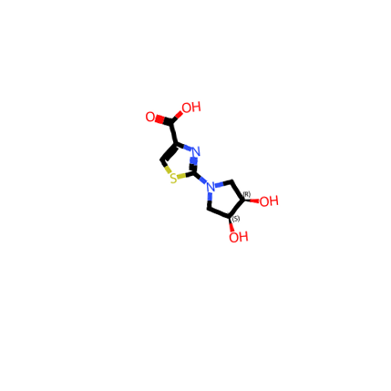 O=C(O)c1csc(N2C[C@@H](O)[C@@H](O)C2)n1